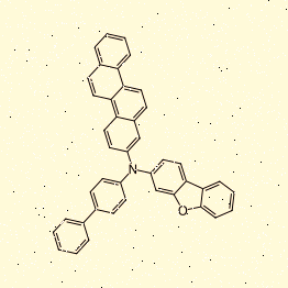 c1ccc(-c2ccc(N(c3ccc4c(ccc5c6ccccc6ccc45)c3)c3ccc4c(c3)oc3ccccc34)cc2)cc1